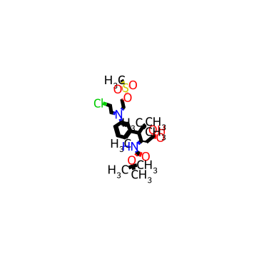 Cc1ccc(N(CCCl)CCOS(C)(=O)=O)cc1C([C@@H](CC(=O)O)NC(=O)OC(C)(C)C)C(C)(C)C